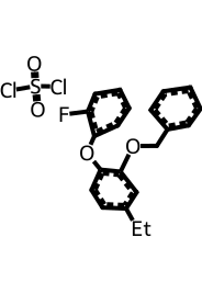 CCc1ccc(Oc2ccccc2F)c(OCc2ccccc2)c1.O=S(=O)(Cl)Cl